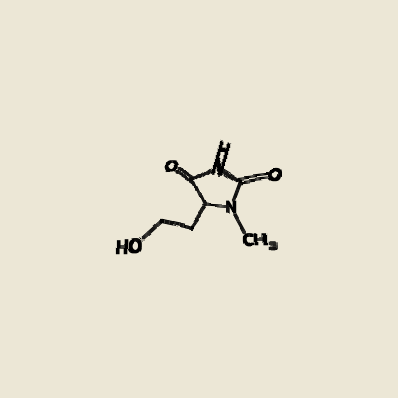 CN1C(=O)NC(=O)C1CCO